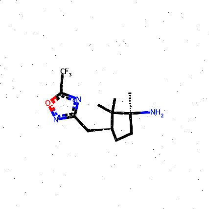 CC1(C)[C@H](Cc2noc(C(F)(F)F)n2)CC[C@]1(C)N